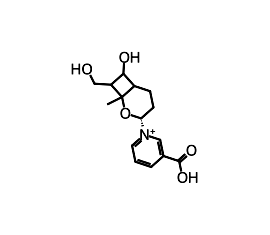 CC12O[C@@H]([n+]3cccc(C(=O)O)c3)CCC1C(O)C2CO